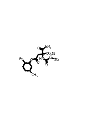 CCOC(=O)C(CC(=O)OC1CC(C)CCC1C(C)C)(NC(=O)OC(C)(C)C)C(N)=O